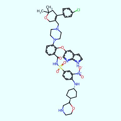 CC1(C)CC(c2ccc(Cl)cc2)=C(CN2CCN(c3cccc(C(=O)NS(=O)(=O)c4ccc(N[C@H]5CC[C@H](C6CNCCO6)CC5)c([N+](=O)[O-])c4)c3Oc3cnc4[nH]ccc4c3)CC2)CO1